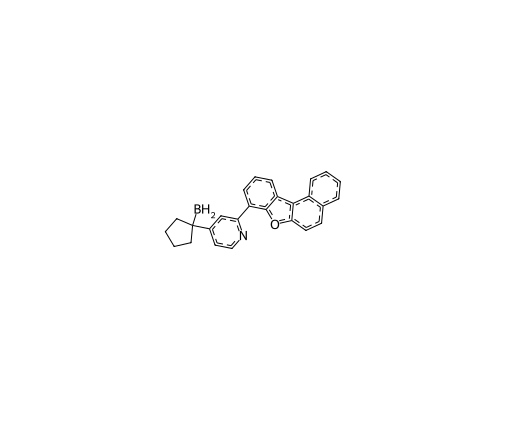 BC1(c2ccnc(-c3cccc4c3oc3ccc5ccccc5c34)c2)CCCC1